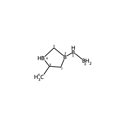 BBB1CBC(C)C1